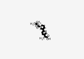 CC(C(=O)O)c1ccc(C2=CCCN(C(=O)OC(C)(C)C)C2)nc1